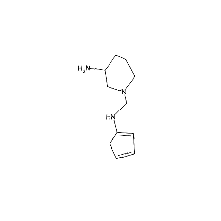 NC1CCCN(CNC2=CC=CC2)C1